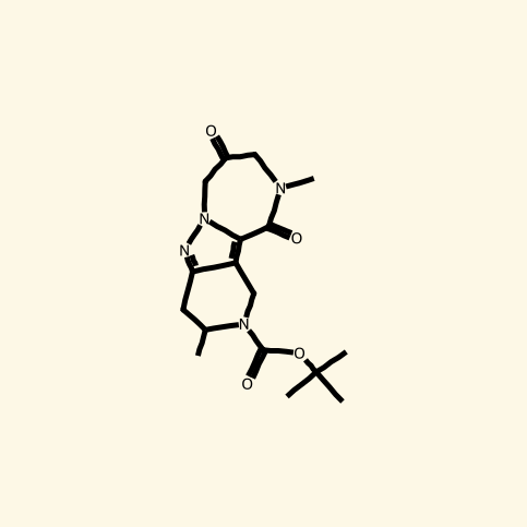 CC1Cc2nn3c(c2CN1C(=O)OC(C)(C)C)C(=O)N(C)CC(=O)C3